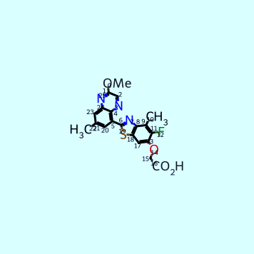 COc1cnc2c(-c3nc4c(C)c(F)c(OCC(=O)O)cc4s3)cc(C)cc2n1